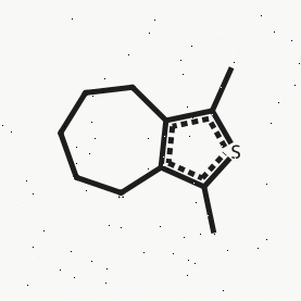 Cc1sc(C)c2c1[C]CCCC2